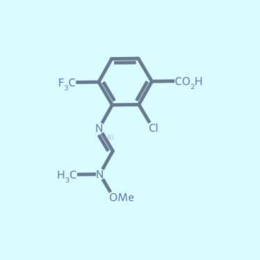 CON(C)/C=N/c1c(C(F)(F)F)ccc(C(=O)O)c1Cl